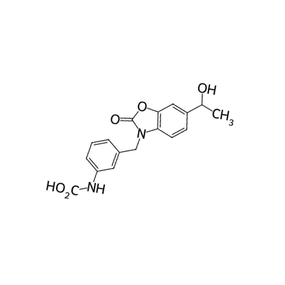 CC(O)c1ccc2c(c1)oc(=O)n2Cc1cccc(NC(=O)O)c1